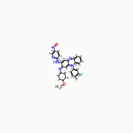 COC1CCC(/N=c2\cc3n(-c4ccc(F)c(F)c4)c4ccccc4nc-3cc2Nc2ccc(N=O)cn2)CC1